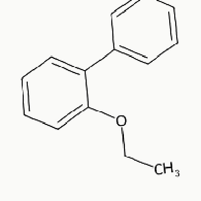 CCOc1ccccc1-c1ccccc1